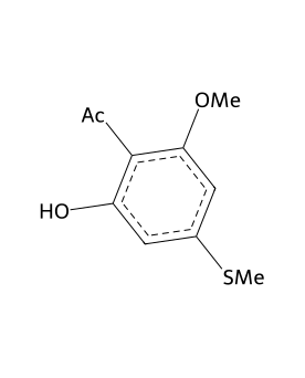 COc1cc(SC)cc(O)c1C(C)=O